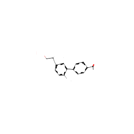 CCC(=O)c1ccc(-c2cc(C(C)CO)ccc2CC)cc1